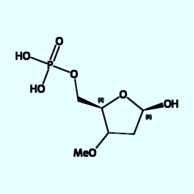 COC1C[C@H](O)O[C@@H]1COP(=O)(O)O